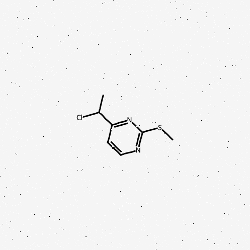 CSc1nccc(C(C)Cl)n1